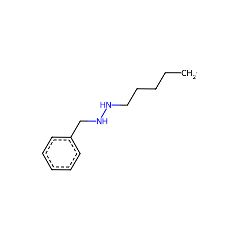 [CH2]CCCCNNCc1ccccc1